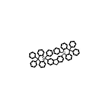 c1ccc(C2(c3ccccc3)c3ccccc3[Si](c3ccccc3)(c3ccc4c(c3)-c3cc([Si]5(c6ccccc6)c6ccccc6C(c6ccccc6)(c6ccccc6)c6ccccc65)ccc3C4)c3ccccc32)cc1